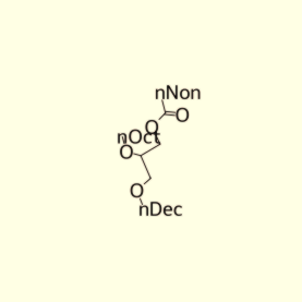 CCCCCCCCCCOCC(COC(=O)CCCCCCCCC)OCCCCCCCC